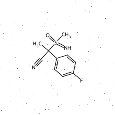 CC(C#N)(c1ccc(F)cc1)S(C)(=N)=O